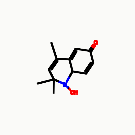 CC1=CC(C)(C)N(O)C2C=CC(=O)C=C12